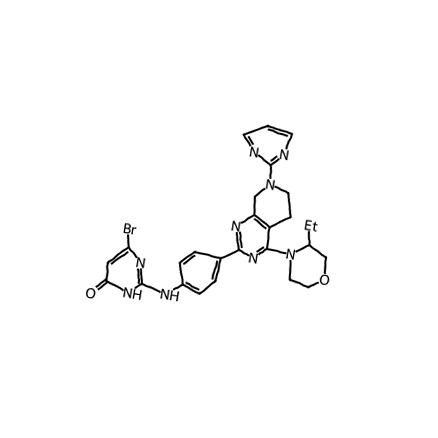 CCC1COCCN1c1nc(-c2ccc(Nc3nc(Br)cc(=O)[nH]3)cc2)nc2c1CCN(c1ncccn1)C2